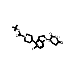 CC(C)(C)OC(=O)N1CCC(c2c(F)ccc3c2CCN3[C@@H]2CCC(=O)NC2=O)CC1